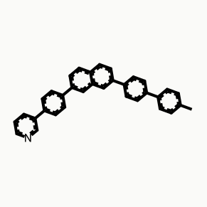 Cc1ccc(-c2ccc(-c3ccc4ccc(-c5ccc(-c6cccnc6)cc5)cc4c3)cc2)cc1